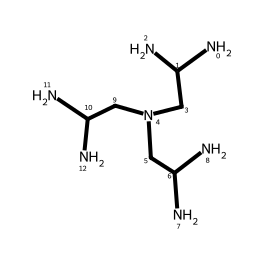 NC(N)CN(CC(N)N)CC(N)N